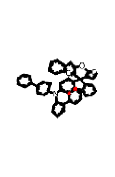 c1ccc(-c2ccc(N(c3ccc4c(c3)-c3ccccc3C43c4ccccc4Oc4cc5ccccc5cc43)c3ccccc3-c3ccccc3)cc2)cc1